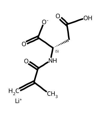 C=C(C)C(=O)N[C@@H](CC(=O)O)C(=O)[O-].[Li+]